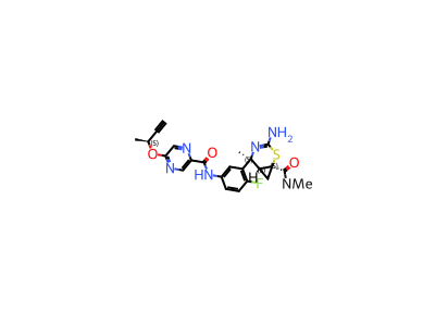 C#C[C@H](C)Oc1cnc(C(=O)Nc2ccc(F)c([C@@]3(C)N=C(N)S[C@@]4(C(=O)NC)C[C@H]43)c2)cn1